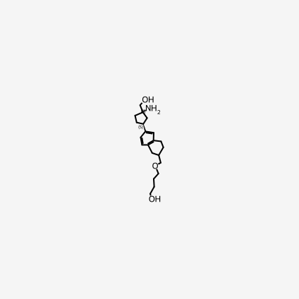 N[C@]1(CO)CC[C@H](c2ccc3c(c2)CCC(COCCCCO)C3)C1